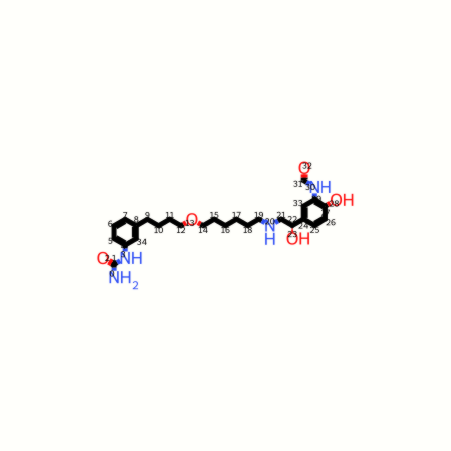 NC(=O)Nc1cccc(CCCCOCCCCCCNC[C@@H](O)c2ccc(O)c(NC=O)c2)c1